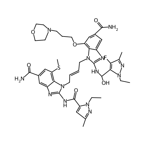 CCn1nc(C)cc1C(=O)Nc1nc2cc(C(N)=O)cc(SC)c2n1C/C=C/Cn1c(NC(O)c2c(F)c(C)nn2CC)nc2cc(C(N)=O)cc(OCCCN3CCOCC3)c21